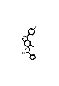 CC1=Cc2c(cnn2-c2ccc(F)cc2)C[C@@]1(C)CC(O)c1cccs1